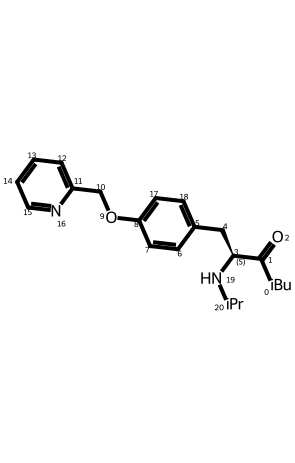 CCC(C)C(=O)[C@H](Cc1ccc(OCc2ccccn2)cc1)NC(C)C